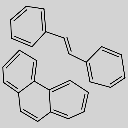 C(=Cc1ccccc1)c1ccccc1.c1ccc2c(c1)ccc1ccccc12